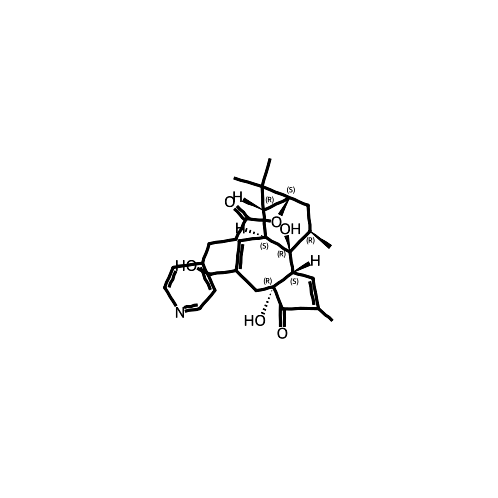 CC1=C[C@H]2[C@@]3(O)[C@H](C)C[C@]4(OC(=O)CCc5ccncc5)[C@H]([C@@H]3C=C(CO)C[C@]2(O)C1=O)C4(C)C